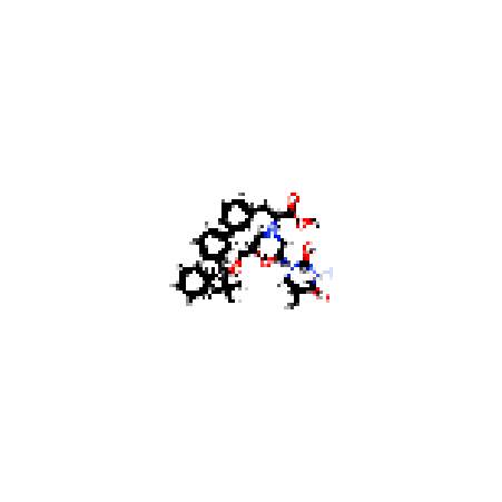 COC(=O)C(Cc1ccccc1)N1CC(CO[Si](c2ccccc2)(c2ccccc2)C(C)(C)C)OC(n2cc(C)c(=O)[nH]c2=O)C1